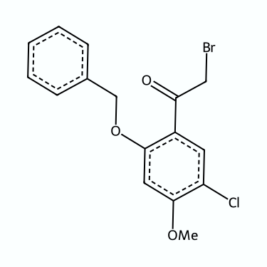 COc1cc(OCc2ccccc2)c(C(=O)CBr)cc1Cl